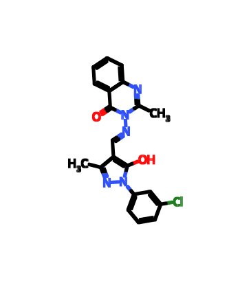 Cc1nn(-c2cccc(Cl)c2)c(O)c1C=Nn1c(C)nc2ccccc2c1=O